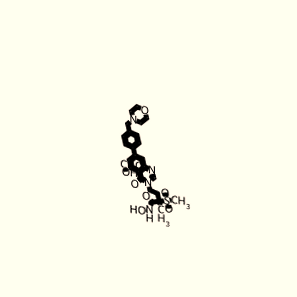 CC(CCn1cnc2cc(-c3ccc(CN4CCOCC4)cc3)ccc2c1=O)(C(=O)NO)S(C)(=O)=O.O=CO